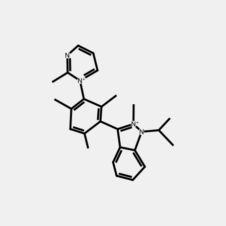 Cc1cc(C)c(-[n+]2cccnc2C)c(C)c1-c1c2ccccc2n(C(C)C)[n+]1C